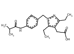 CCc1nn(Cc2ccc(NC(=O)C(C)C)cc2)c(CC)c1CC(=O)O